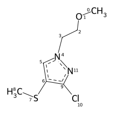 COCCn1cc(SC)c(Cl)n1